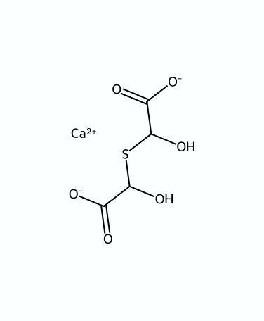 O=C([O-])C(O)SC(O)C(=O)[O-].[Ca+2]